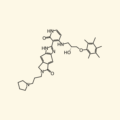 Cc1c(C)c(C)c(OC[C@H](O)CNc2cc[nH]c(=O)c2-c2nc3cc4c(cc3[nH]2)CN(CCCN2CCCC2)C4=O)c(C)c1C